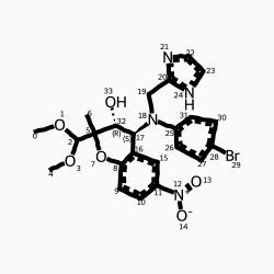 COC(OC)C1(C)Oc2ccc([N+](=O)[O-])cc2[C@H](N(Cc2ncc[nH]2)c2ccc(Br)cc2)[C@H]1O